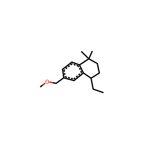 CCC1CCC(C)(C)c2ccc(COC)cc21